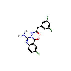 CCN(CC)c1nc2ccc(Cl)cc2c(=O)n1NC(=O)Cc1cc(F)cc(F)c1